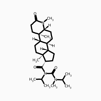 CC(C)N(C)C(=O)N(C(=O)[C@H]1CC[C@H]2[C@@H]3CC[C@H]4N(C)C(=O)CC[C@]4(C)[C@H]3CC[C@]12C)C(C)C